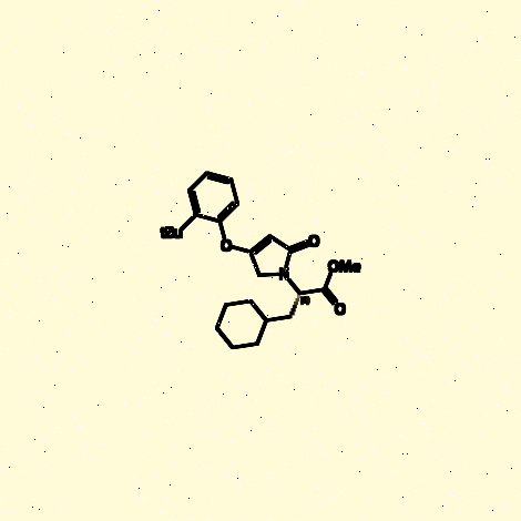 COC(=O)[C@H](CC1CCCCC1)N1CC(Oc2ccccc2C(C)(C)C)=CC1=O